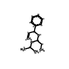 C=CC(OC(CC)OC(C)C)c1ccccc1